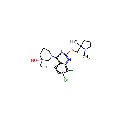 CN1CCCC1(C)COc1nc(N2CCCC(C)(O)C2)c2ccc(Br)c(F)c2n1